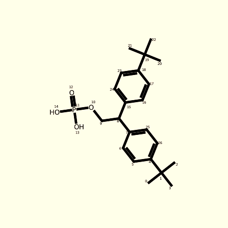 CC(C)(C)c1ccc(C(COP(=O)(O)O)c2ccc(C(C)(C)C)cc2)cc1